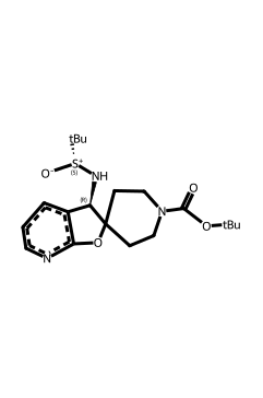 CC(C)(C)OC(=O)N1CCC2(CC1)Oc1ncccc1[C@H]2N[S@+]([O-])C(C)(C)C